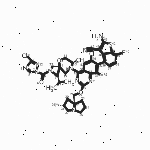 CC(C)[C@H]1N(C(=O)n2cnc(Cl)n2)C[C@@]12CN(c1nc(OC[C@@]34CCCN3C[C@H](F)C4)nc3c(F)c(-c4ccc(F)c5sc(N)c(C#N)c45)c(Cl)cc13)[C@H](C)CO2